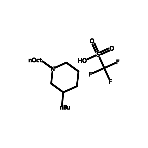 CCCCCCCCN1CCCC(CCCC)C1.O=S(=O)(O)C(F)(F)F